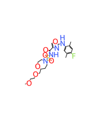 COCCOCC1CCN(S(=O)(=O)NC(=O)c2coc(Nc3cc(C)c(F)cc3C)n2)CCO1